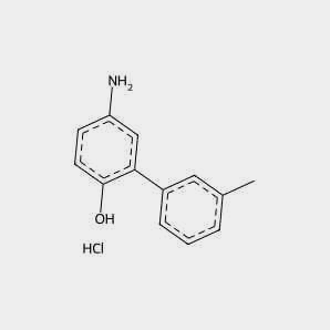 Cc1cccc(-c2cc(N)ccc2O)c1.Cl